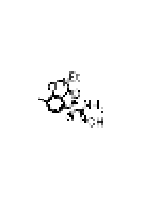 CCN(C)C(=O)c1c(S(=O)(=O)C(N)=NO)ccc(C)c1Cl